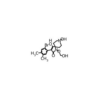 Cc1cc(Br)c(C2=C(O)C3(CCN(O)CC3)N(OCO)C2=O)cc1C